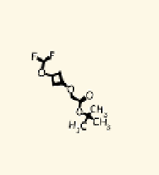 CC(C)(C)OC(=O)COC1CC(OC(F)F)C1